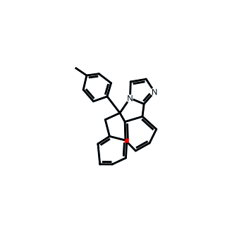 Cc1ccc(C2(Cc3ccccc3)c3ccccc3-c3nccn32)cc1